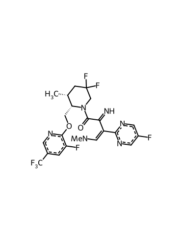 CN/C=C(\C(=N)C(=O)N1CC(F)(F)C[C@@H](C)[C@H]1COc1ncc(C(F)(F)F)cc1F)c1ncc(F)cn1